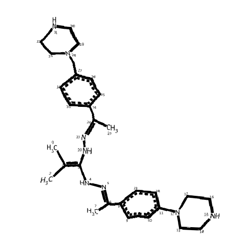 CC(C)=C(N/N=C(\C)c1ccc(N2CCNCC2)cc1)N/N=C(\C)c1ccc(N2CCNCC2)cc1